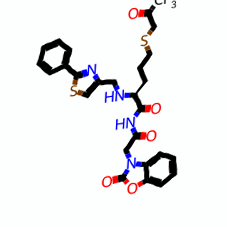 O=C(Cn1c(=O)oc2ccccc21)NC(=O)[C@H](CCCSCC(=O)C(F)(F)F)NCc1csc(-c2ccccc2)n1